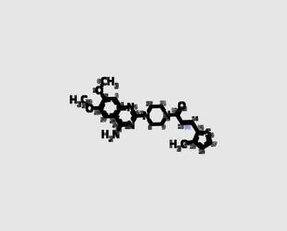 COc1cc2nc(N3CCN(C(=O)/C=C/c4sccc4C)CC3)nc(N)c2cc1OC